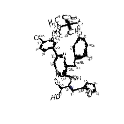 CC(C)(C)[Si](C)(C)Oc1cc(-c2cnc(N/C(=C\c3ccco3)C(=O)O)c(Cc3ccccc3)n2)ccc1Cl